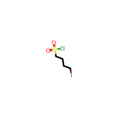 O=S(=O)(Cl)CCCCI